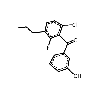 CCCc1ccc(Cl)c(C(=O)c2cccc(O)c2)c1F